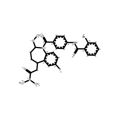 COC1CCC(CC(=O)N(C)C)c2cc(F)ccc2N1C(=O)c1ccc(NC(=O)c2ccccc2Br)cc1